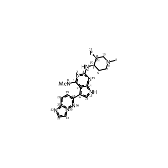 CNc1nc(N[C@@H]2CCN(C)C[C@@H]2F)nc2[nH]cc(-c3ccc4nccn4n3)c12